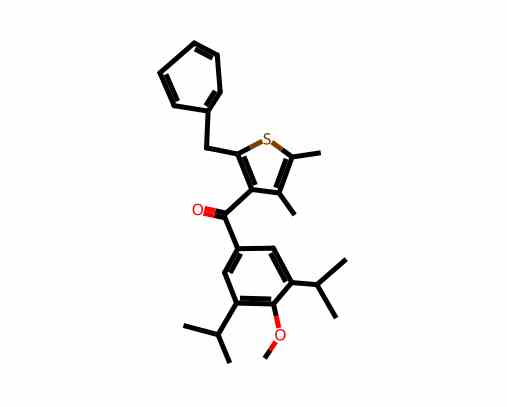 COc1c(C(C)C)cc(C(=O)c2c(Cc3ccccc3)sc(C)c2C)cc1C(C)C